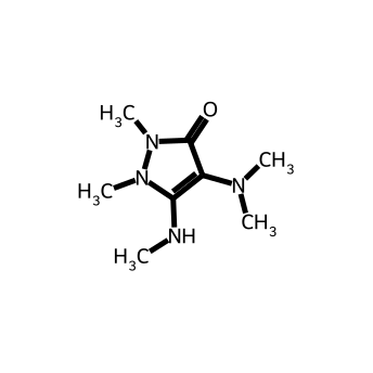 CNc1c(N(C)C)c(=O)n(C)n1C